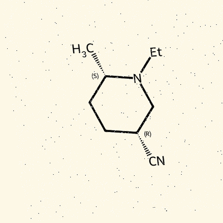 CCN1C[C@H](C#N)CC[C@@H]1C